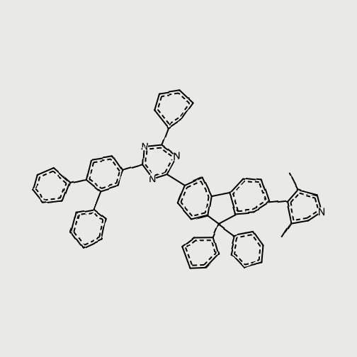 Cc1cncc(C)c1-c1ccc2c(c1)C(c1ccccc1)(c1ccccc1)c1ccc(-c3nc(-c4ccccc4)nc(-c4ccc(-c5ccccc5)c(-c5ccccc5)c4)n3)cc1-2